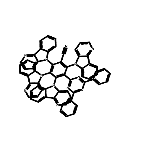 N#Cc1c(-n2c3ccccc3c3ncccc32)c(-c2nc(-c3ccccc3)nc(-c3ccccc3)n2)c(-n2c3ccccc3c3ncccc32)c(-n2c3ccccc3c3ncccc32)c1-n1c2ccccc2c2ncccc21